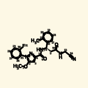 COc1cc(C(=O)N[C@@H](CC(=O)NCC#N)c2ccccc2C)nn1-c1ccccc1F